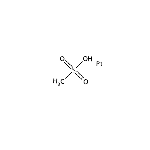 CS(=O)(=O)O.[Pt]